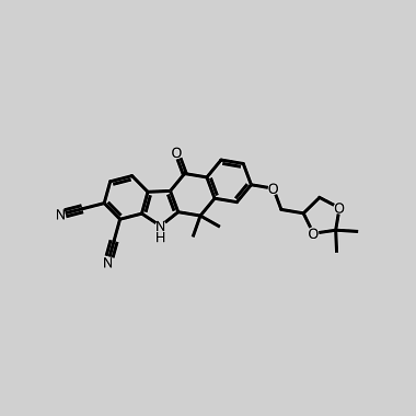 CC1(C)OCC(COc2ccc3c(c2)C(C)(C)c2[nH]c4c(C#N)c(C#N)ccc4c2C3=O)O1